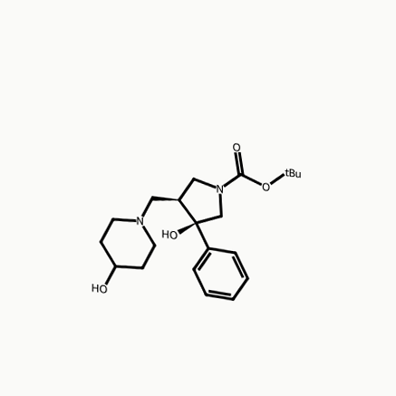 CC(C)(C)OC(=O)N1C[C@H](CN2CCC(O)CC2)[C@@](O)(c2ccccc2)C1